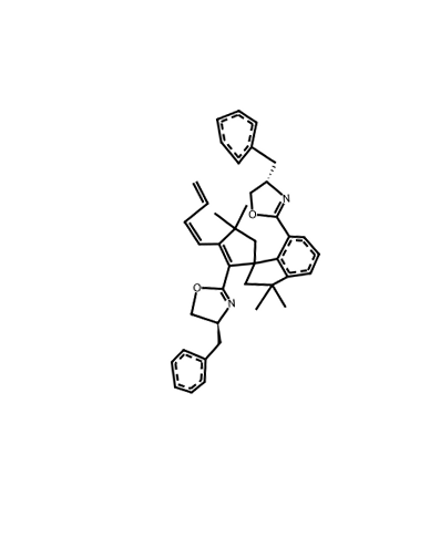 C=C/C=C\C1=C(C2=N[C@@H](Cc3ccccc3)CO2)C2(CC1(C)C)CC(C)(C)c1cccc(C3=N[C@@H](Cc4ccccc4)CO3)c12